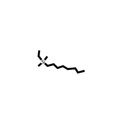 CCCCCCCC[Si](C)(C)CC